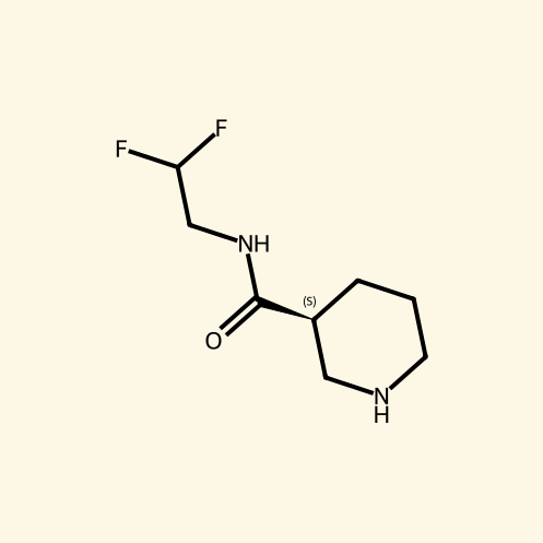 O=C(NCC(F)F)[C@H]1CCCNC1